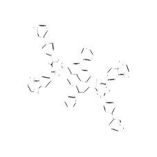 c1ccc(-c2cc(-c3nc(-c4ccc(-c5cccnc5)cc4)nc(-c4ccc5nccnc5c4)n3)c3ccc4c(-c5ccccc5)cc(-c5nc(-c6ccc(-c7cccnc7)cc6)nc(-c6ccc7nccnc7c6)n5)c5ccc2c3c45)cc1